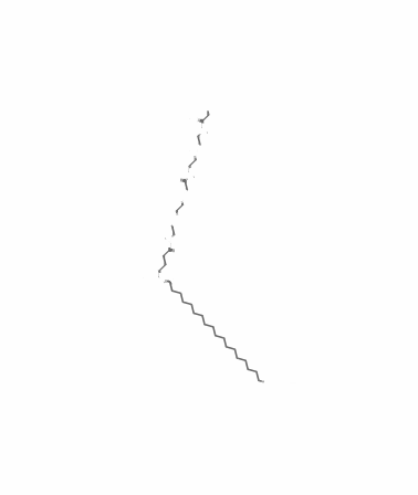 O=C(O)CCCCCCCCCCCCCCCCCC(=O)N[C@@H](CCC(=O)NCCOCCOCC(=O)NCCOCCNC(=O)CI)C(=O)O